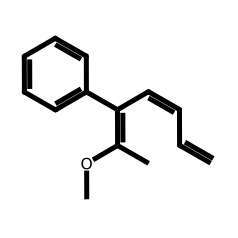 C=C/C=C\C(=C(/C)OC)c1ccccc1